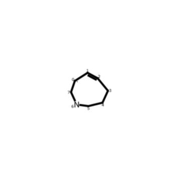 [C]1/C=C\CCC[N]C1